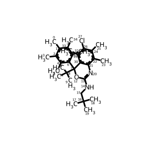 Cc1c(C)c(C)c(C2(C(C)(C)C)OC(NCC(C)(C)C)=Nc3c(C)c(C)c(Cl)c(C)c32)c(C)c1C